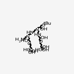 CC(C)(C)OCC(O)CN(CCNCCN(CCN)CC(O)COCCC[Si](O)(O)O)CCNCC(O)COCCC[Si](O)(O)O